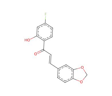 O=C(C=Cc1ccc2c(c1)OCO2)c1ccc(F)cc1O